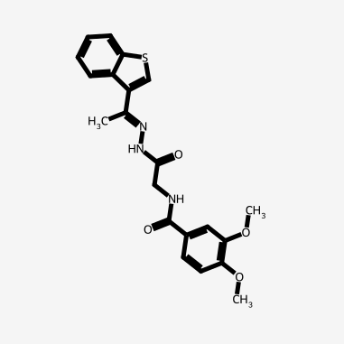 COc1ccc(C(=O)NCC(=O)N/N=C(\C)c2csc3ccccc23)cc1OC